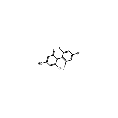 Cc1cc(O)cc(=O)n1-c1c(F)cc(Br)cc1F